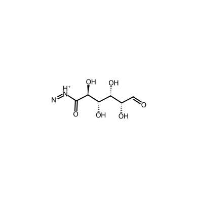 [N-]=[NH+]C(=O)[C@@H](O)[C@@H](O)[C@H](O)[C@@H](O)C=O